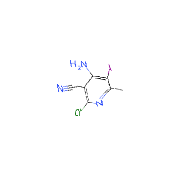 Cc1nc(Cl)c(C#N)c(N)c1I